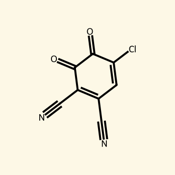 N#CC1=C(C#N)C(=O)C(=O)C(Cl)=C1